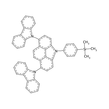 C[Si](C)(C)c1ccc(-n2c3ccc(-n4c5ccccc5c5ccccc54)c4ccc5c(-n6c7ccccc7c7ccccc76)ccc2c5c43)cc1